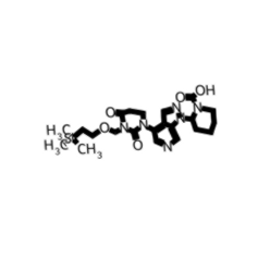 C[Si](C)(C)CCOCN1C(=O)CCN(c2cncc3c2cnn3C2CCCCN2C(=O)O)C1=O